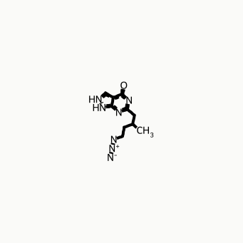 CC(CCN=[N+]=[N-])Cc1nc2[nH][nH]cc-2c(=O)n1